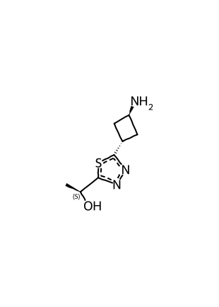 C[C@H](O)c1nnc([C@H]2C[C@H](N)C2)s1